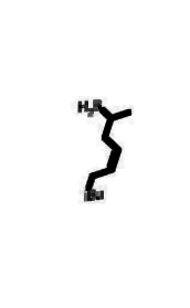 BC(C)C/C=C\CC(C)CC